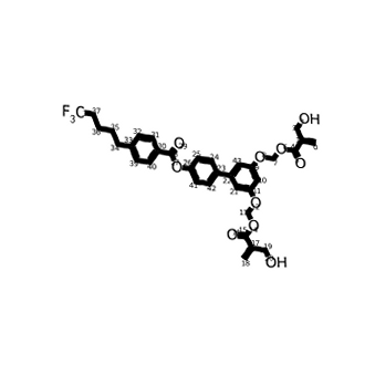 C=C(CO)C(=O)OCOc1cc(OCOC(=O)C(=C)CO)cc(-c2ccc(OC(=O)c3ccc(CCCCC(F)(F)F)cc3)cc2)c1